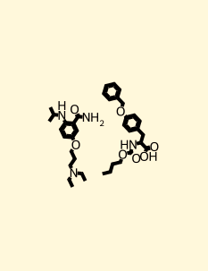 CCCCOC(=O)NC(Cc1ccc(OCc2ccccc2)cc1)C(=O)O.CCN(CC)CCCOc1ccc(NC(C)C)c(C(N)=O)c1